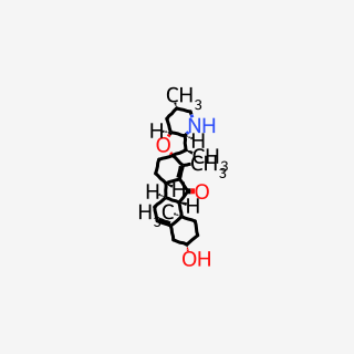 CC1=C2C(=O)[C@H]3[C@@H](CC=C4C[C@@H](O)CC[C@@]43C)[C@@H]2CCC12O[C@H]1C[C@H](C)CN[C@H]1[C@H]2C